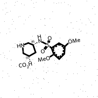 COc1ccc(OC)c(S(=O)(=O)N[C@H]2CNC[C@@H](C(=O)O)C2)c1